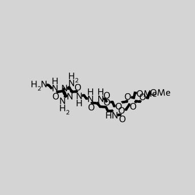 COCCOCCOCCOC(=O)NCCCCC(NC(=O)OCCOCCOCCOC)C(=O)NCCNC(=O)c1nc(N)c(C(=O)NCCN)nc1N